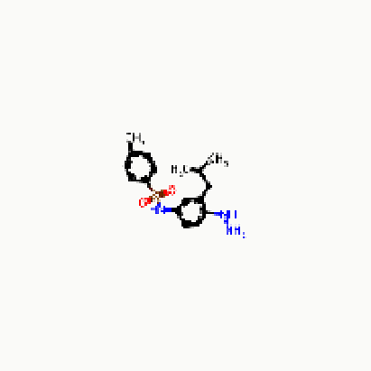 Cc1ccc(S(=O)(=O)Nc2ccc(NN)c(CC(C)C)c2)cc1